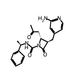 CC(=O)C[C@@H]1[C@@H](Cc2ccnc(N)c2)C(=O)N1C(=O)N[C@H](C)c1ccccc1